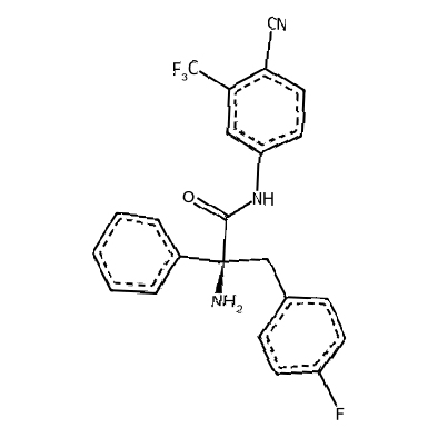 N#Cc1ccc(NC(=O)[C@](N)(Cc2ccc(F)cc2)c2ccccc2)cc1C(F)(F)F